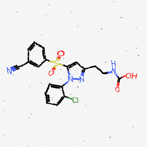 N#Cc1cccc(S(=O)(=O)c2cc(CCNC(=O)O)nn2-c2ccccc2Cl)c1